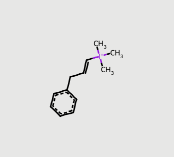 C[I+](C)(C)C=CCc1ccccc1